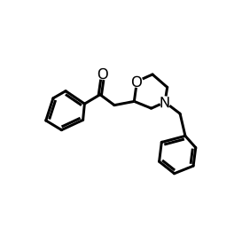 O=C(CC1CN(Cc2ccccc2)CCO1)c1ccccc1